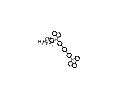 C[Si](C)(C)c1ccc(N(c2ccc(-c3ccc(-c4ccc(N(c5ccccc5)c5ccccc5-c5ccccc5)cc4)cc3)cc2)c2cccc3ccccc23)cc1